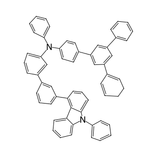 C1=CC(c2cc(-c3ccccc3)cc(-c3ccc(N(c4ccccc4)c4cccc(-c5cccc(-c6cccc7c6c6ccccc6n7-c6ccccc6)c5)c4)cc3)c2)=CCC1